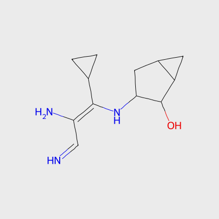 N=C/C(N)=C(\NC1CC2CC2C1O)C1CC1